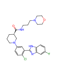 O=C(NCCCN1CCOCC1)[C@@H]1CCCN(c2ccc(Cl)c(-c3nc4cc(F)ccc4[nH]3)c2)C1